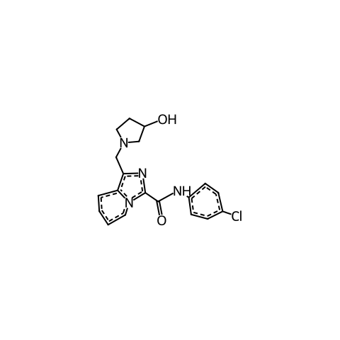 O=C(Nc1ccc(Cl)cc1)c1nc(CN2CCC(O)C2)c2ccccn12